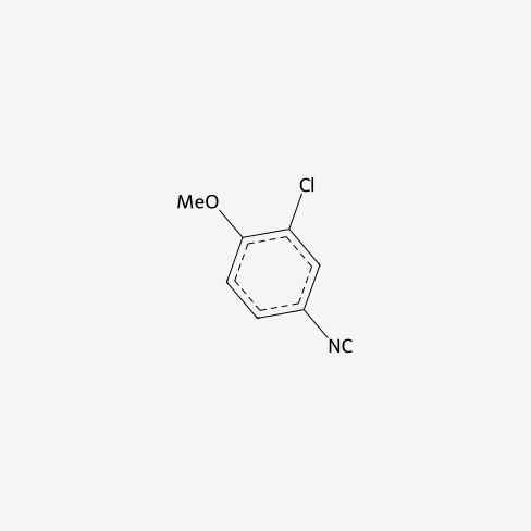 [C-]#[N+]c1ccc(OC)c(Cl)c1